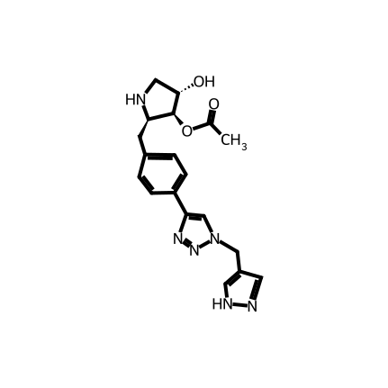 CC(=O)O[C@@H]1[C@@H](O)CN[C@@H]1Cc1ccc(-c2cn(Cc3cn[nH]c3)nn2)cc1